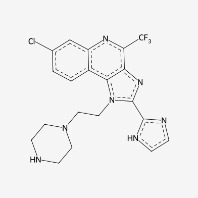 FC(F)(F)c1nc2cc(Cl)ccc2c2c1nc(-c1ncc[nH]1)n2CCN1CCNCC1